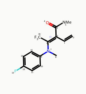 C=C/C(C(=O)NC)=C(\N(C)c1ccc(F)cc1)C(F)(F)F